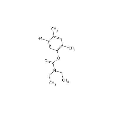 CCN(CC)C(=O)Oc1cc(S)c(C)cc1C